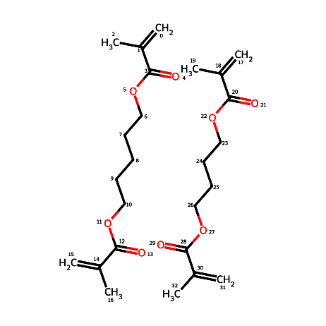 C=C(C)C(=O)OCCCCCOC(=O)C(=C)C.C=C(C)C(=O)OCCCCOC(=O)C(=C)C